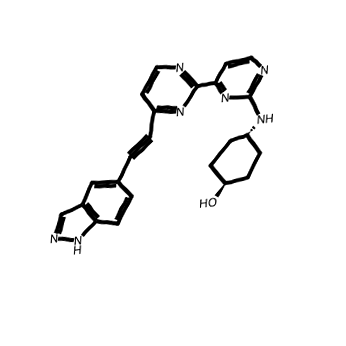 O[C@H]1CC[C@H](Nc2nccc(-c3nccc(C#Cc4ccc5[nH]ncc5c4)n3)n2)CC1